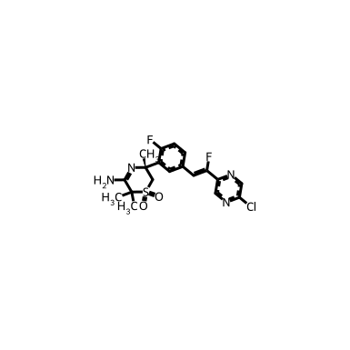 CC1(C)C(N)=N[C@](C)(c2cc(/C=C(\F)c3cnc(Cl)cn3)ccc2F)CS1(=O)=O